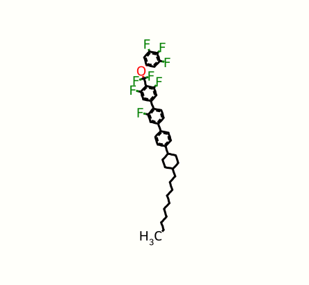 CCCCCCCCCCC1CCC(c2ccc(-c3ccc(-c4cc(F)c(C(F)(F)Oc5cc(F)c(F)c(F)c5)c(F)c4)c(F)c3)cc2)CC1